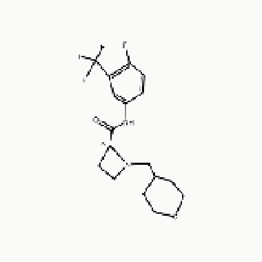 O=C(Nc1ccc(F)c(C(F)(F)F)c1)[C@@H]1CCN1CC1CCOCC1